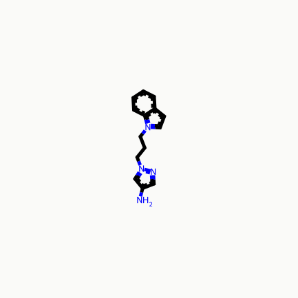 Nc1cnn(CCCn2ccc3ccccc32)c1